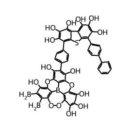 Bc1c(B)c2c3c(c1O)Oc1c(O)c(-c4ccc(-c5c(O)c(O)c(O)c6c5sc5c(-c7ccc(-c8ccccc8)cc7)c(O)c(O)c(O)c56)cc4)c(O)c4c1B3c1c(c(O)c(O)c(O)c1O4)OO2